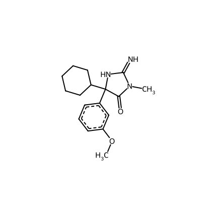 COc1cccc(C2(C3CCCCC3)NC(=N)N(C)C2=O)c1